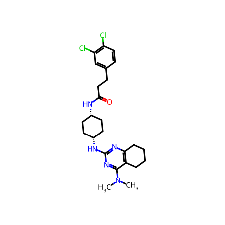 CN(C)c1nc(N[C@H]2CC[C@@H](NC(=O)CCc3ccc(Cl)c(Cl)c3)CC2)nc2c1CCCC2